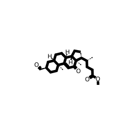 COC(=O)CC[C@@H](C)[C@H]1CC[C@H]2[C@@H]3CC[C@@H]4C[C@H](C=O)CC[C@]4(C)C3=CC(=O)[C@]12C